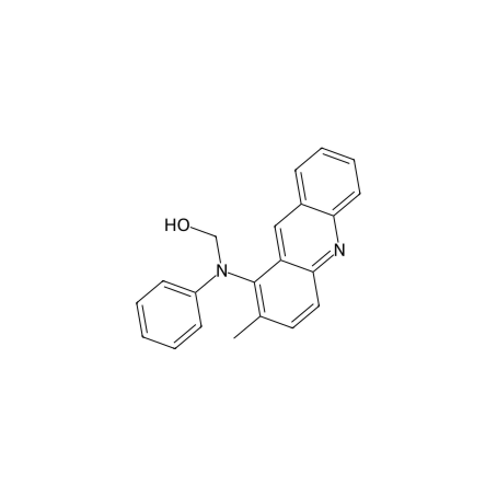 Cc1ccc2nc3ccccc3cc2c1N(CO)c1ccccc1